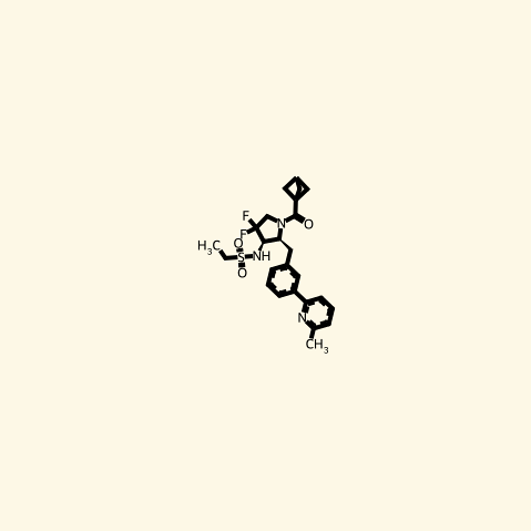 CCS(=O)(=O)N[C@@H]1[C@H](Cc2cccc(-c3cccc(C)n3)c2)N(C(=O)C23CC(C2)C3)CC1(F)F